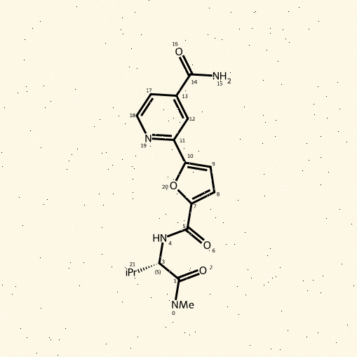 CNC(=O)[C@@H](NC(=O)c1ccc(-c2cc(C(N)=O)ccn2)o1)C(C)C